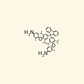 Cc1cc(N)ccc1Oc1c(C(C)C)cc(C2(c3cc(C(C)C)c(Oc4ccc(N)cc4C)c(C(C)C)c3)c3ccccc3-c3ccccc32)cc1C(C)C